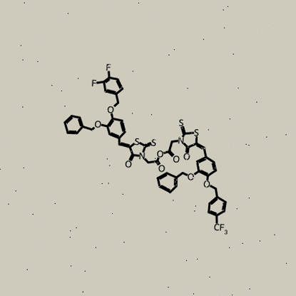 O=C(CN1C(=O)C(=Cc2ccc(OCc3ccc(C(F)(F)F)cc3)c(OCc3ccccc3)c2)SC1=S)OC(=O)CN1C(=O)C(=Cc2ccc(OCc3ccc(F)c(F)c3)c(OCc3ccccc3)c2)SC1=S